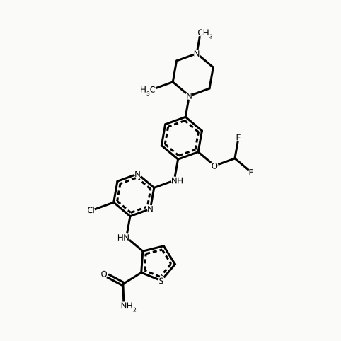 CC1CN(C)CCN1c1ccc(Nc2ncc(Cl)c(Nc3ccsc3C(N)=O)n2)c(OC(F)F)c1